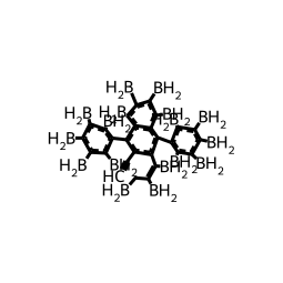 BC/C(B)=C(/B)c1c(C#C)c(-c2c(B)c(B)c(B)c(B)c2B)c2c(B)c(B)c(B)c(B)c2c1-c1c(B)c(B)c(B)c(B)c1B